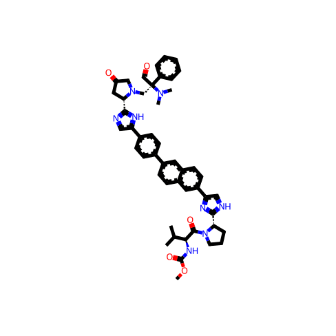 COC(=O)N[C@H](C(=O)N1CCC[C@H]1c1nc(-c2ccc3cc(-c4ccc(-c5cnc([C@@H]6CC(=O)CN6C[C@](C=O)(c6ccccc6)N(C)C)[nH]5)cc4)ccc3c2)c[nH]1)C(C)C